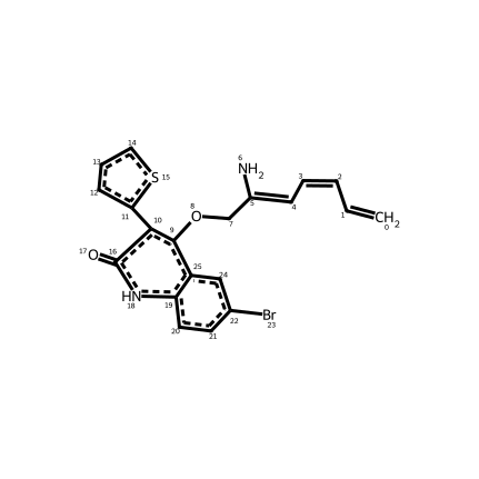 C=C/C=C\C=C(/N)COc1c(-c2cccs2)c(=O)[nH]c2ccc(Br)cc12